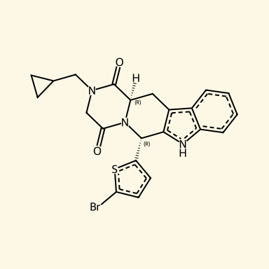 O=C1[C@H]2Cc3c([nH]c4ccccc34)[C@H](c3ccc(Br)s3)N2C(=O)CN1CC1CC1